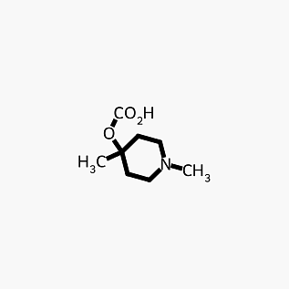 CN1CCC(C)(OC(=O)O)CC1